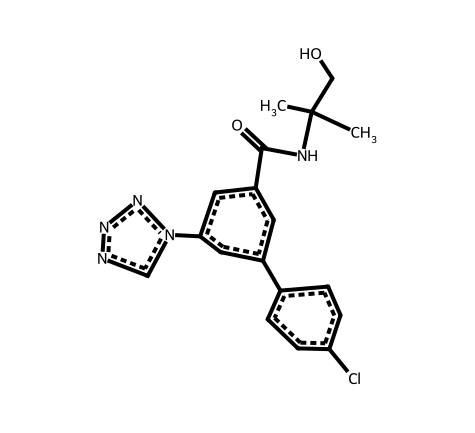 CC(C)(CO)NC(=O)c1cc(-c2ccc(Cl)cc2)cc(-n2cnnn2)c1